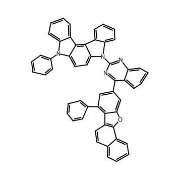 c1ccc(-c2cc(-c3nc(-n4c5ccccc5c5c6c7ccccc7n(-c7ccccc7)c6ccc54)nc4ccccc34)cc3oc4c5ccccc5ccc4c23)cc1